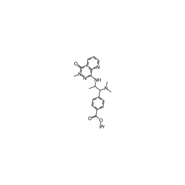 CC(C)OC(=O)c1ccc(C(C(C)Nc2nn(C)c(=O)c3cccnc23)N(C)C)cc1